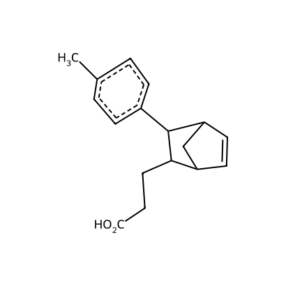 Cc1ccc(C2C3C=CC(C3)C2CCC(=O)O)cc1